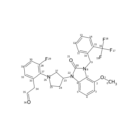 COc1cccc2c1n(Cc1ccccc1C(F)(F)F)c(=O)n2C1CCN(c2c(F)cccc2CC=O)C1